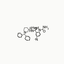 CCCCCCCN(C(N)=O)c1ccc(N(C)C)cc1C(=O)NCC1CCCN(C(c2ccccc2)c2ccccc2)C1